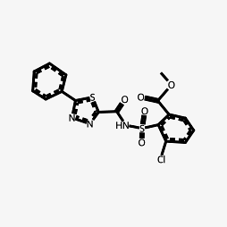 COC(=O)c1cccc(Cl)c1S(=O)(=O)NC(=O)c1nnc(-c2ccccc2)s1